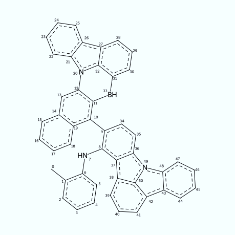 Cc1ccccc1Nc1c(-c2c3c(cc4ccccc24)-n2c4ccccc4c4cccc(c42)B3)ccc2c1c1cccc3c4ccccc4n2c31